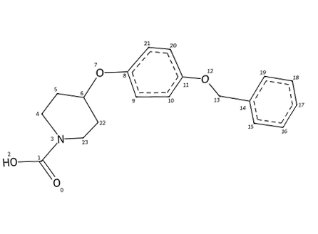 O=C(O)N1CCC(Oc2ccc(OCc3ccccc3)cc2)CC1